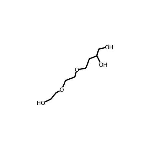 OCCOCCOCCC(O)CO